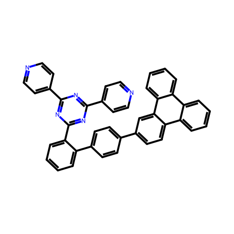 c1ccc(-c2nc(-c3ccncc3)nc(-c3ccncc3)n2)c(-c2ccc(-c3ccc4c5ccccc5c5ccccc5c4c3)cc2)c1